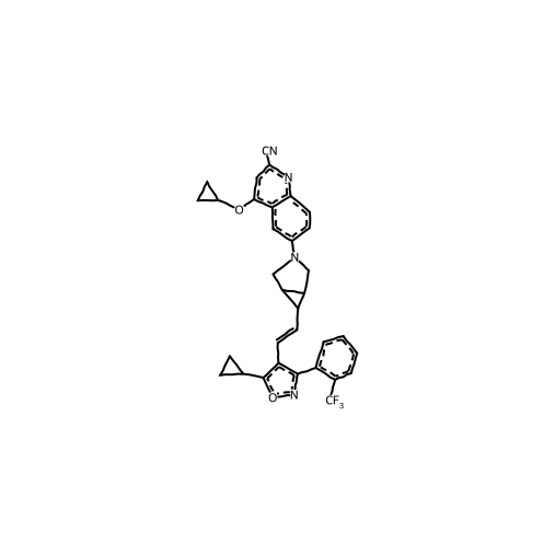 N#Cc1cc(OC2CC2)c2cc(N3CC4C(C=Cc5c(-c6ccccc6C(F)(F)F)noc5C5CC5)C4C3)ccc2n1